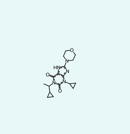 CC(C1CC1)n1c(=O)c2[nH]c(N3CCOCC3)nc2n(C2CC2)c1=O